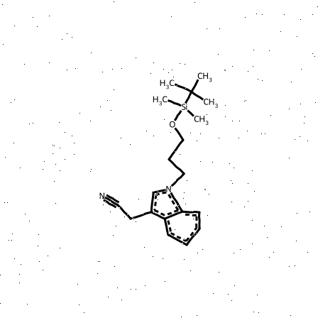 CC(C)(C)[Si](C)(C)OCCCn1cc(CC#N)c2ccccc21